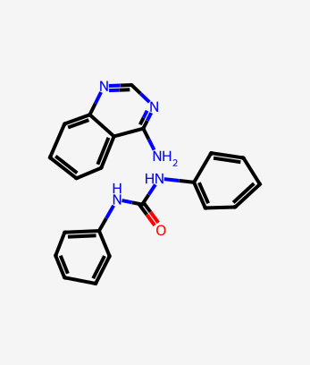 Nc1ncnc2ccccc12.O=C(Nc1ccccc1)Nc1ccccc1